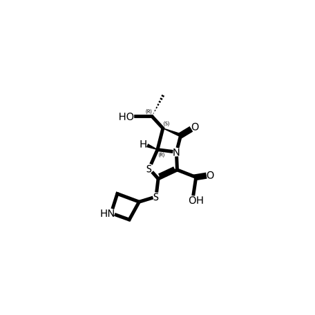 C[C@@H](O)[C@H]1C(=O)N2C(C(=O)O)=C(SC3CNC3)S[C@H]12